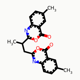 Cc1ccc2nc(CC(C)c3nc4ccc(C)cc4c(=O)o3)oc(=O)c2c1